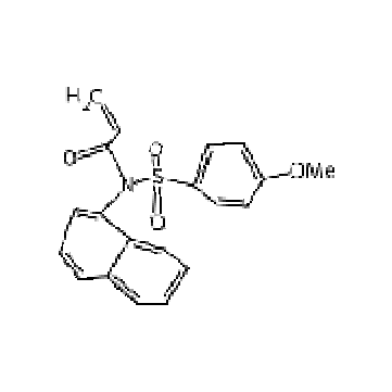 C=CC(=O)N(c1cccc2ccccc12)S(=O)(=O)c1ccc(OC)cc1